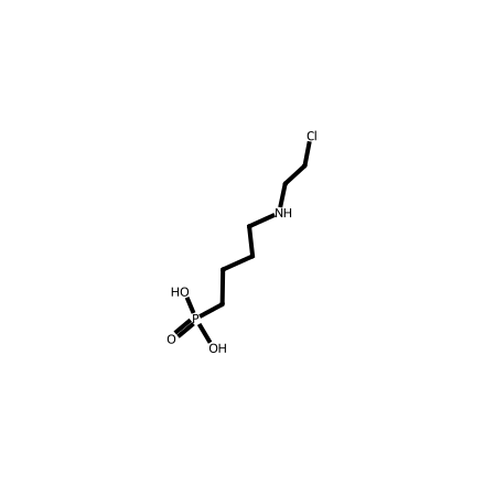 O=P(O)(O)CCCCNCCCl